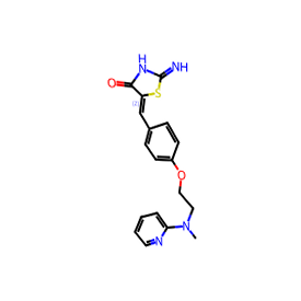 CN(CCOc1ccc(/C=C2\SC(=N)NC2=O)cc1)c1ccccn1